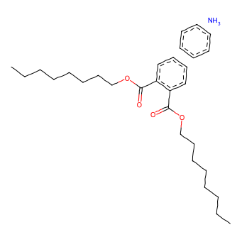 CCCCCCCCOC(=O)c1ccccc1C(=O)OCCCCCCCC.N.c1ccccc1